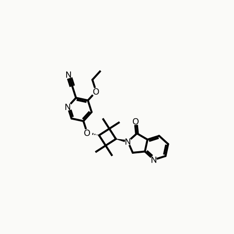 CCOc1cc(O[C@H]2C(C)(C)[C@H](N3Cc4ncccc4C3=O)C2(C)C)cnc1C#N